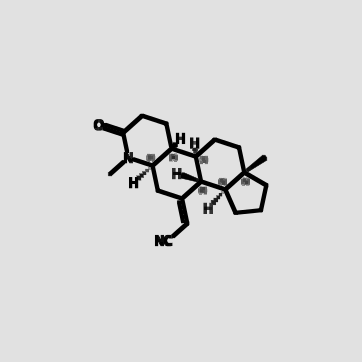 CN1C(=O)CC[C@@H]2[C@H]3CC[C@]4(C)CCC[C@H]4[C@@H]3C(=CC#N)C[C@H]21